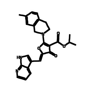 Cc1ccc2c(c1)CN(C1=C(C(=O)OC(C)C)C(=O)C(=Cc3c[nH]c4ncccc34)O1)CC2